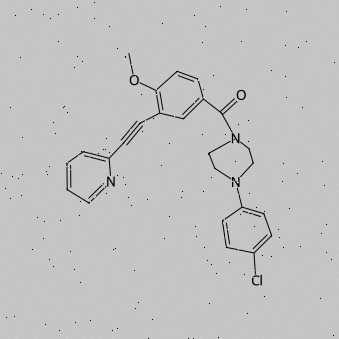 COc1ccc(C(=O)N2CCN(c3ccc(Cl)cc3)CC2)cc1C#Cc1ccccn1